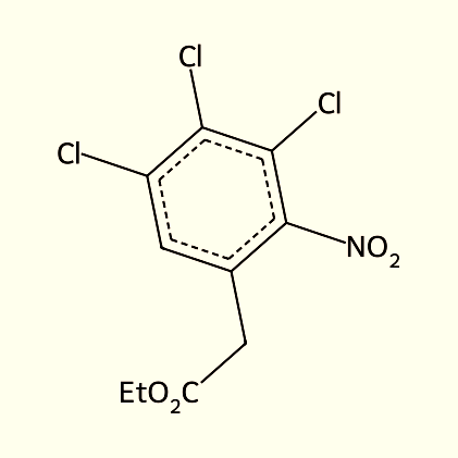 CCOC(=O)Cc1cc(Cl)c(Cl)c(Cl)c1[N+](=O)[O-]